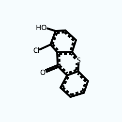 O=c1c2ccccc2sc2ccc(O)c(Cl)c12